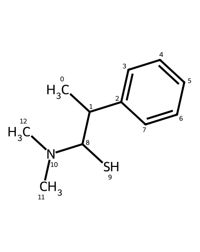 CC(c1ccccc1)C(S)N(C)C